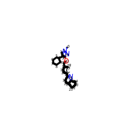 Cn1cc(C2CCCCC2)c(OCc2ccc(-c3ccc4ccccc4n3)cc2)n1